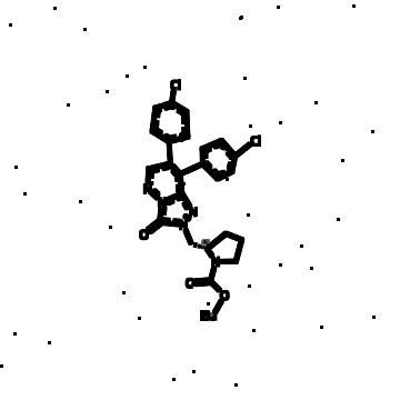 CCC(C)OC(=O)N1CCC[C@H]1Cn1nc2c(-c3ccc(Cl)cc3)c(-c3ccc(Cl)cc3)cnn2c1=O